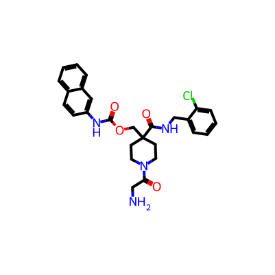 NCC(=O)N1CCC(COC(=O)Nc2ccc3ccccc3c2)(C(=O)NCc2ccccc2Cl)CC1